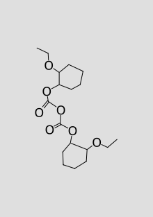 CCOC1CCCCC1OC(=O)OC(=O)OC1CCCCC1OCC